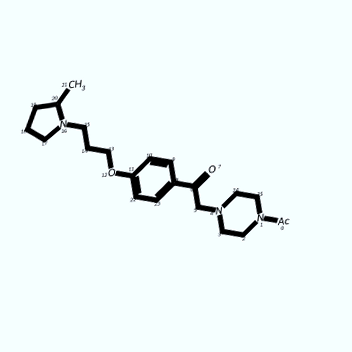 CC(=O)N1CCN(CC(=O)c2ccc(OCCCN3CCCC3C)cc2)CC1